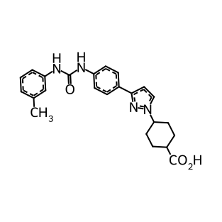 Cc1cccc(NC(=O)Nc2ccc(-c3ccn(C4CCC(C(=O)O)CC4)n3)cc2)c1